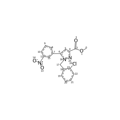 COC(=O)c1cc(-c2cccc([N+](=O)[O-])c2)n(Cc2ccccc2Cl)n1